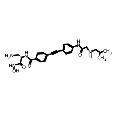 CC(C)CNCC(=O)Nc1ccc(C#Cc2ccc(C(=O)N[C@@H](CN)C(=O)NO)cc2)cc1